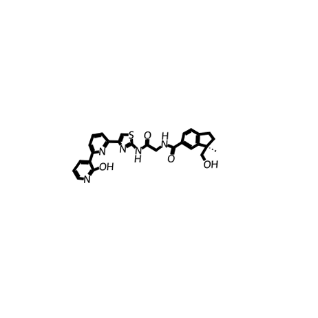 C[C@@]1(CO)CCc2ccc(C(=O)NCC(=O)Nc3nc(-c4cccc(-c5cccnc5O)n4)cs3)cc21